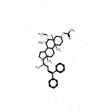 CC[C@H]1[C@@H](O)C2C3CC[C@H]([C@H](C)CC=C(c4ccccc4)c4ccccc4)[C@@]3(C)CCC2[C@@]2(C)CC[C@@H](OC(C)=O)C[C@@H]12